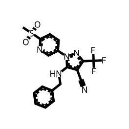 CS(=O)(=O)c1ccc(-n2nc(C(F)(F)F)c(C#N)c2NCc2ccccc2)cn1